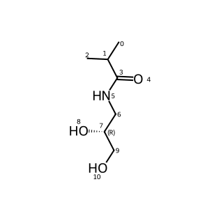 CC(C)C(=O)NC[C@@H](O)CO